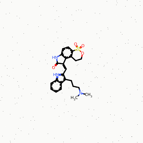 CN(C)CCCc1c(/C=C2\C(=O)Nc3ccc4c(c32)CCOS4(=O)=O)[nH]c2ccccc12